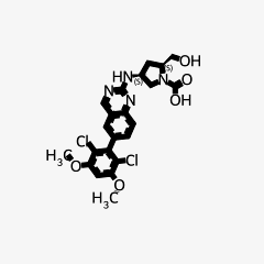 COc1cc(OC)c(Cl)c(-c2ccc3nc(N[C@H]4C[C@@H](CO)N(C(=O)O)C4)ncc3c2)c1Cl